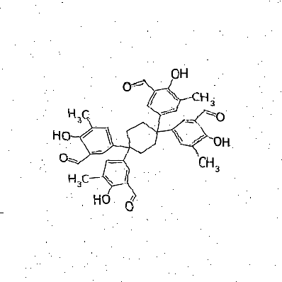 Cc1cc(C2(c3cc(C)c(O)c(C=O)c3)CCC(c3cc(C)c(O)c(C=O)c3)(c3cc(C)c(O)c(C=O)c3)CC2)cc(C=O)c1O